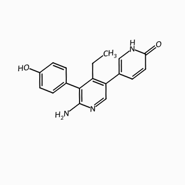 CCc1c(-c2ccc(=O)[nH]c2)cnc(N)c1-c1ccc(O)cc1